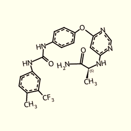 Cc1ccc(NC(=O)Nc2ccc(Oc3cc(N[C@@H](C)C(N)=O)ncn3)cc2)cc1C(F)(F)F